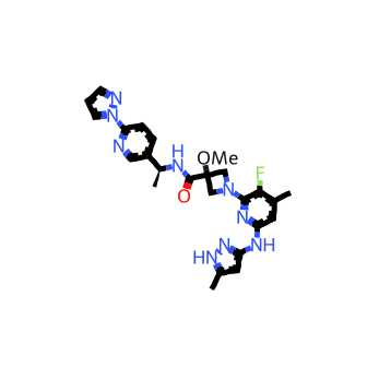 COC1(C(=O)N[C@@H](C)c2ccc(-n3cccn3)nc2)CN(c2nc(Nc3cc(C)[nH]n3)cc(C)c2F)C1